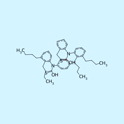 CCCCc1cccc(N(C(O)=S)c2ccccc2Cc2ccccc2N(C(O)=S)c2cccc(CCCC)c2CCCC)c1CCCC